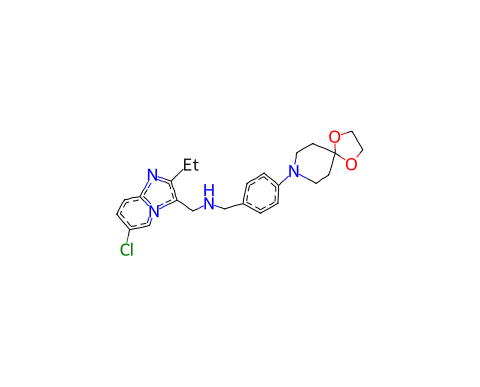 CCc1nc2ccc(Cl)cn2c1CNCc1ccc(N2CCC3(CC2)OCCO3)cc1